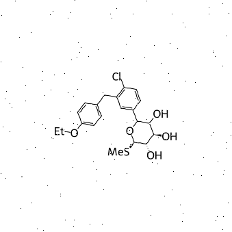 CCOc1ccc(Cc2cc(C3O[C@H](SC)[C@@H](O)[C@H](O)C3O)ccc2Cl)cc1